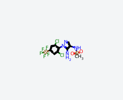 CS(=O)(=O)Nc1cnn(-c2c(Cl)cc(S(F)(F)(F)(F)F)cc2Cl)c1N